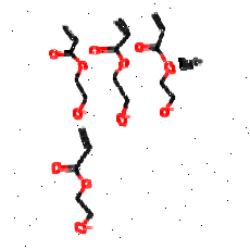 C=CC(=O)OCC[O-].C=CC(=O)OCC[O-].C=CC(=O)OCC[O-].C=CC(=O)OCC[O-].[Ru+4]